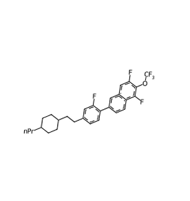 CCCC1CCC(CCc2ccc(-c3ccc4c(F)c(OC(F)(F)F)c(F)cc4c3)c(F)c2)CC1